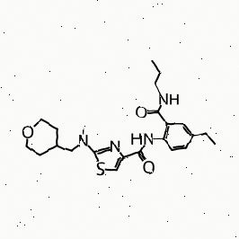 CCCNC(=O)c1cc(CC)ccc1NC(=O)c1csc(N(C)CC2CCOCC2)n1